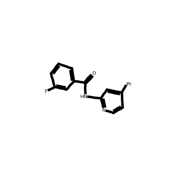 CC(C)c1ccnc(NC(=O)c2cccc(F)c2)c1